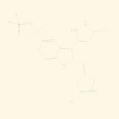 CC1NNC(N2c3cc(S(=O)(=O)NC4(C)CC4)ccc3NC2CC2CNN(C)C2)S1